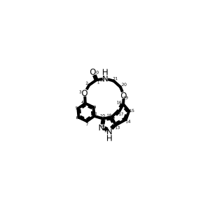 O=C1COc2cccc(c2)-c2n[nH]c3ccc(cc23)OCCN1